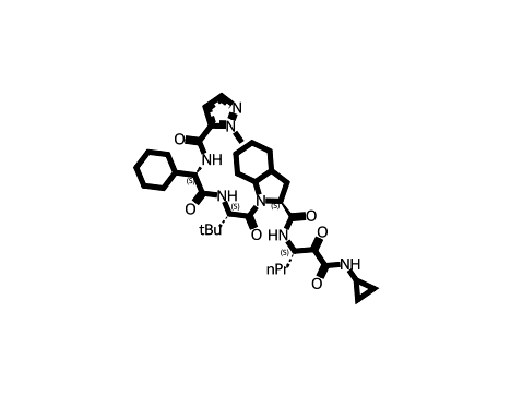 CCC[C@H](NC(=O)[C@@H]1CC2CCCCC2N1C(=O)[C@@H](NC(=O)[C@@H](NC(=O)c1ccnn1C)C1CCCCC1)C(C)(C)C)C(=O)C(=O)NC1CC1